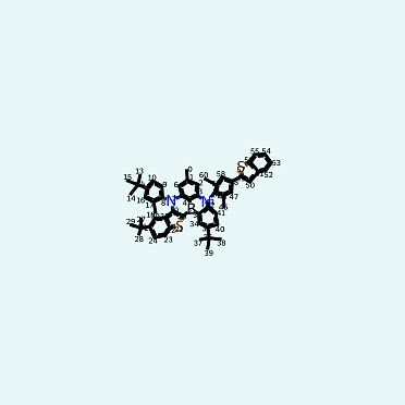 Cc1cc2c3c(c1)N(c1ccc(C(C)(C)C)cc1C)c1c(sc4ccc(C(C)(C)C)cc14)B3c1cc(C(C)(C)C)ccc1N2c1c(C)cc(-c2cc3ccccc3s2)cc1C